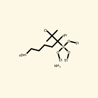 CCCCCCCCCCCCCCC(CCC)(C(C)(C)Cl)[Si](OCC)(OCC)OCC.N